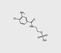 Nc1cc(C(=O)NCCOS(=O)(=O)O)ccc1Cl